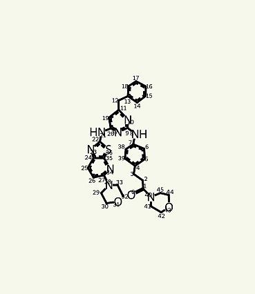 O=C(CCc1ccc(Nc2nc(Cc3ccccc3)cc(Nc3nc4ccc(N5CCOCC5)nc4s3)n2)cc1)N1CCOCC1